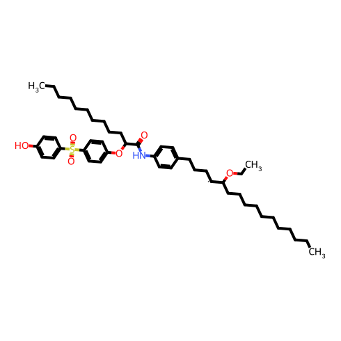 CCCCCCCCCCCC([CH]CCCc1ccc(NC(=O)C(CCCCCCCCCC)Oc2ccc(S(=O)(=O)c3ccc(O)cc3)cc2)cc1)OCC